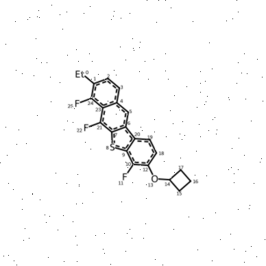 CCc1ccc2cc3c(sc4c(F)c(OC5CCC5)ccc43)c(F)c2c1F